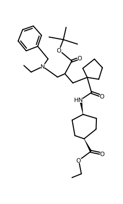 CCOC(=O)[C@H]1CC[C@@H](NC(=O)C2(CC(CN(CC)Cc3ccccc3)C(=O)OC(C)(C)C)CCCC2)CC1